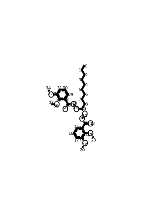 [CH2]CCCCCCCC[C](OOC(=O)c1cccc(OC)c1OC)OOC(=O)c1cccc(OC)c1OC